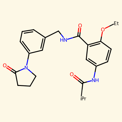 CCOc1ccc(NC(=O)C(C)C)cc1C(=O)NCc1cccc(N2CCCC2=O)c1